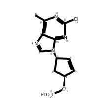 CCOC(=O)O[C@@H]1C=C[C@H](n2cnc3c(C)nc(Cl)nc32)C1